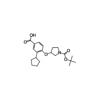 CC(C)(C)OC(=O)N1CCC(Oc2ccc(C(=O)O)cc2C2CCCC2)C1